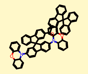 O=C(c1ccc2c(c1)C1(c3ccccc3-c3ccccc31)c1ccccc1-2)c1ccc2c(c1)C1(c3ccccc3-2)c2cc(N3c4ccccc4OC4C=CC=CC43)ccc2-c2ccc(N3c4ccccc4OC4C=CC=CC43)cc21